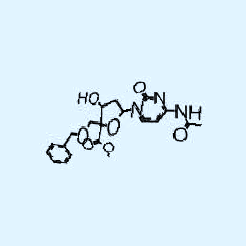 COC(=O)C1(COCc2ccccc2)OC(n2ccc(NC(C)=O)nc2=O)CC1O